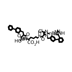 CCCCc1nc(Cl)c(C(=O)NCCCCC(NC(=O)C(Cc2ccc(-c3ccccc3)cc2)C(=O)NO)C(=O)O)n1Cc1ccc(-c2ccccc2-c2nnn[nH]2)cc1